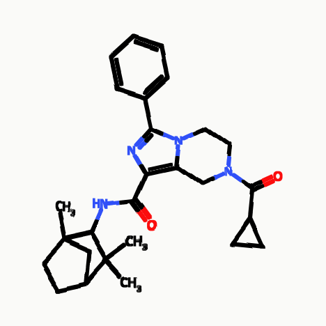 CC12CCC(C1)C(C)(C)C2NC(=O)c1nc(-c2ccccc2)n2c1CN(C(=O)C1CC1)CC2